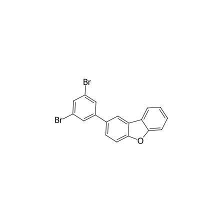 Brc1cc(Br)cc(-c2ccc3oc4ccccc4c3c2)c1